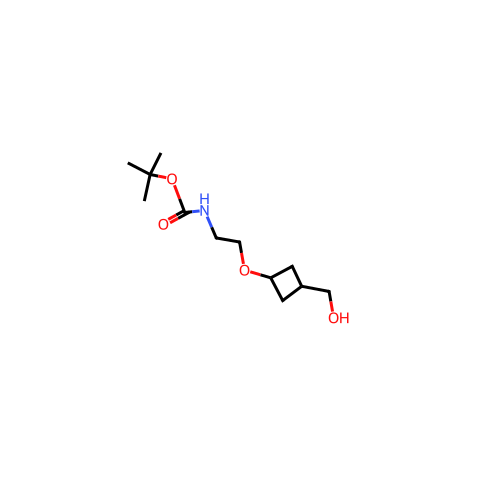 CC(C)(C)OC(=O)NCCOC1CC(CO)C1